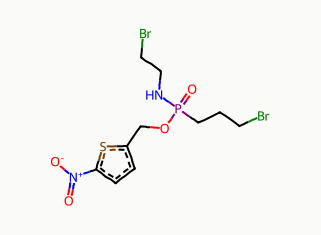 O=[N+]([O-])c1ccc(COP(=O)(CCCBr)NCCBr)s1